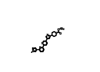 Cn1cc(-c2cccc(-c3ccc(-c4cnn(C5CCN(C(=O)OC(C)(C)C)CC5)c4)cn3)n2)cn1